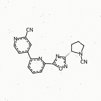 N#Cc1cc(-c2cccc(-c3nc([C@@H]4CCCN4C#N)no3)n2)ccn1